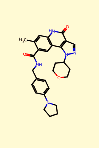 Cc1cc2[nH]c(=O)c3cnn(C4CCOCC4)c3c2cc1C(=O)NCc1ccc(N2CCCC2)cc1